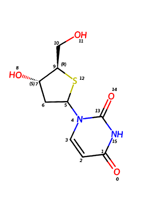 O=c1ccn(C2C[C@H](O)[C@@H](CO)S2)c(=O)[nH]1